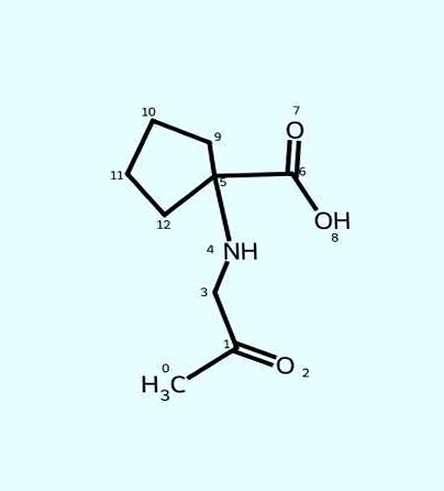 CC(=O)CNC1(C(=O)O)CCCC1